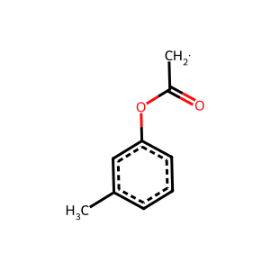 [CH2]C(=O)Oc1cccc(C)c1